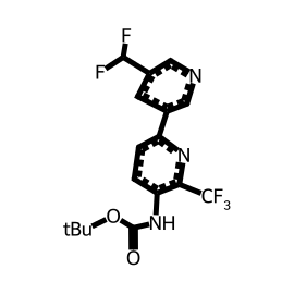 CC(C)(C)OC(=O)Nc1ccc(-c2cncc(C(F)F)c2)nc1C(F)(F)F